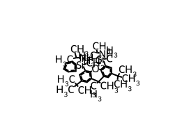 CC(C)N[Si](C)(C)c1cc(C(C)(C)C)cc2c1Oc1c(cc(C(C)(C)C)cc1[Si](C)(NC(C)C)c1ccccc1)C2(C)C